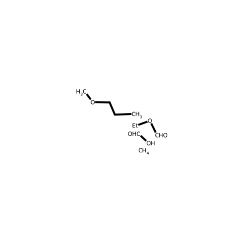 C.CCCOC.CCOC=O.O=CO